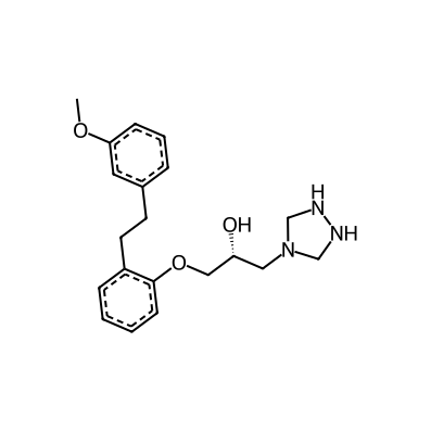 COc1cccc(CCc2ccccc2OC[C@H](O)CN2CNNC2)c1